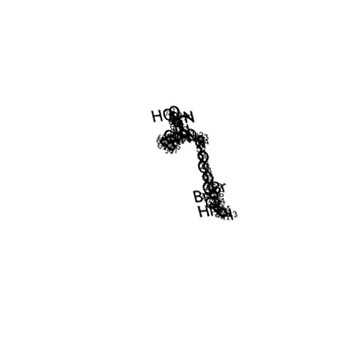 N#CCC1CN(c2nc(OC[C@@H]3CCCN3CCCOCCOCCOCCOc3c(Br)cc(C=C4C(=O)Nc5ccc(I)cc54)cc3Br)nc3c2CCN(c2cccc4cccc(Cl)c24)C3)CCN1C(=O)O